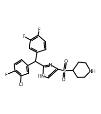 O=S(=O)(c1c[nH]c(C(c2ccc(F)c(F)c2)c2ccc(F)c(Cl)c2)n1)C1CCNCC1